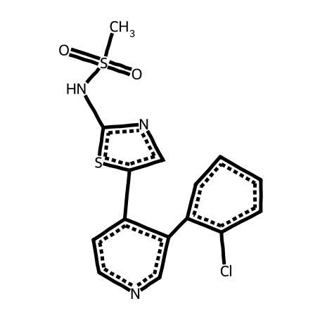 CS(=O)(=O)Nc1ncc(-c2ccncc2-c2ccccc2Cl)s1